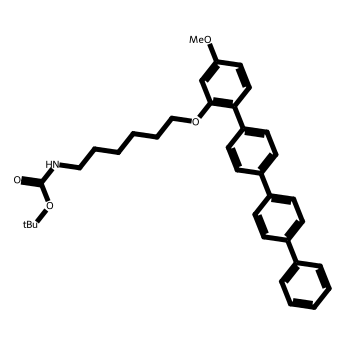 COc1ccc(-c2ccc(-c3ccc(-c4ccccc4)cc3)cc2)c(OCCCCCCNC(=O)OC(C)(C)C)c1